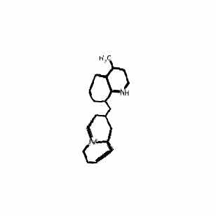 CC1CCNC2C(CC3CCN4CCC=CC4C3)CCCC12